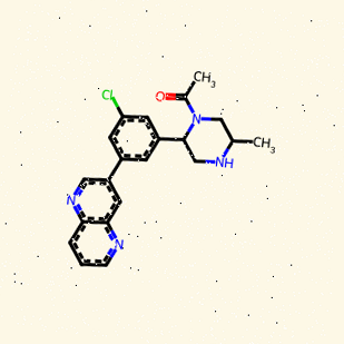 CC(=O)N1CC(C)NCC1c1cc(Cl)cc(-c2cnc3cccnc3c2)c1